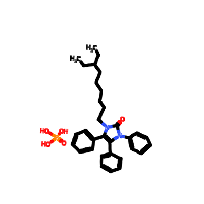 CCC(CC)CCCCCCn1c(-c2ccccc2)c(-c2ccccc2)n(-c2ccccc2)c1=O.O=P(O)(O)O